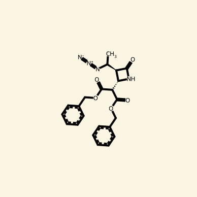 CC(N=[N+]=[N-])[C@H]1C(=O)N[C@@H]1C(C(=O)OCc1ccccc1)C(=O)OCc1ccccc1